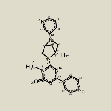 Cn1c(N2CC3C[C@H]2CN3c2cccnc2)nc(-c2ccncc2)cc1=O